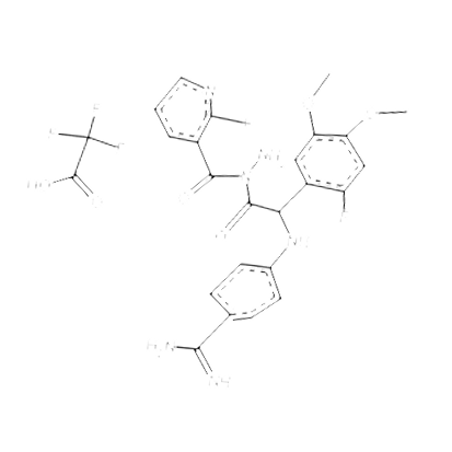 COc1cc(F)c(C(Nc2ccc(C(=N)N)cc2)C(=O)N(N)C(=O)c2cccnc2F)cc1OC.O=C(O)C(F)(F)F